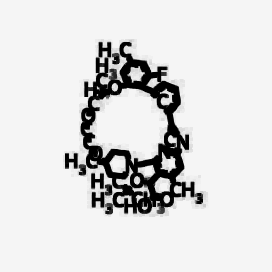 Cc1cc(F)c2c(c1)O[C@@H](C)COCCOC1(C)CCN(CC1)c1c([C@H](OC(C)(C)C)C(=O)O)c(C)cc3nc(cn13)-c1cccc-2c1